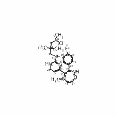 CN(C)CC(C)(C)CNC1=NC(c2c(-c3ccc(F)cc3)[nH]occn2C)=CCN1